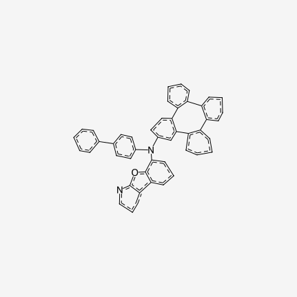 c1ccc(-c2ccc(N(c3ccc4c(c3)-c3ccccc3-c3ccccc3-c3ccccc3-4)c3cccc4c3oc3ncccc34)cc2)cc1